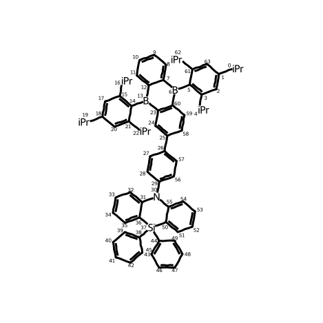 CC(C)c1cc(C(C)C)c(B2c3ccccc3B(c3c(C(C)C)cc(C(C)C)cc3C(C)C)c3cc(-c4ccc(N5c6ccccc6[Si](c6ccccc6)(c6ccccc6)c6ccccc65)cc4)ccc32)c(C(C)C)c1